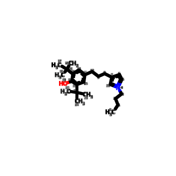 CCCCn1ccc(CCCc2cc(C(C)(C)C)c(O)c(C(C)(C)C)c2)c1